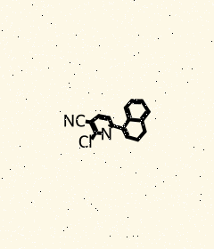 N#Cc1ccc(C2=CCCc3ccccc32)nc1Cl